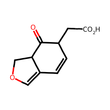 O=C(O)CC1C=CC2=COCC2C1=O